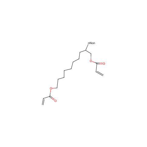 C=CC(=O)OCCCCCCCCC(CCCCCCCCC)COC(=O)C=C